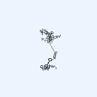 Cc1ncsc1-c1ccc(CNC(=O)[C@@H]2C[C@@H](O)CN2C(=O)[C@@H](NC(=O)CCCCCCCCCCC(=O)N2CCN(Cc3cccc(C#Cc4cc(-c5ccccc5O)nnc4N)c3)CC2)C(C)(C)C)cc1